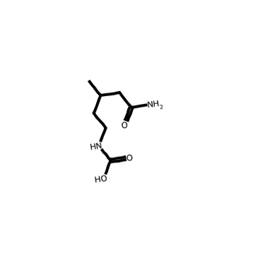 CC(CCNC(=O)O)CC(N)=O